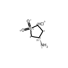 Cl.N[C@H]1CCS(=O)(=O)C1